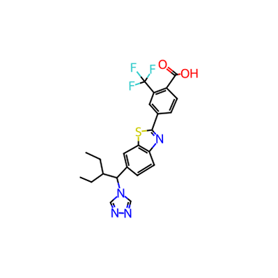 CCC(CC)C(c1ccc2nc(-c3ccc(C(=O)O)c(C(F)(F)F)c3)sc2c1)n1cnnc1